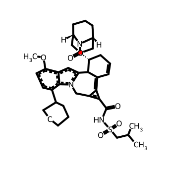 COc1ccc(C2CCCCC2)c2c1cc1n2CC2=C(C(=O)NS(=O)(=O)CC(C)C)C2=C2C=CC[C@@H](C(=O)N3[C@@H]4CCC[C@H]3COC4)C21